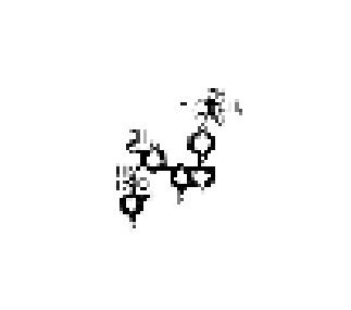 COc1ncc(-c2cc(F)c3nccc(N4CCN(OC(=O)C(C)(C)C)CC4)c3c2)cc1NS(=O)(=O)c1ccc(F)cc1F